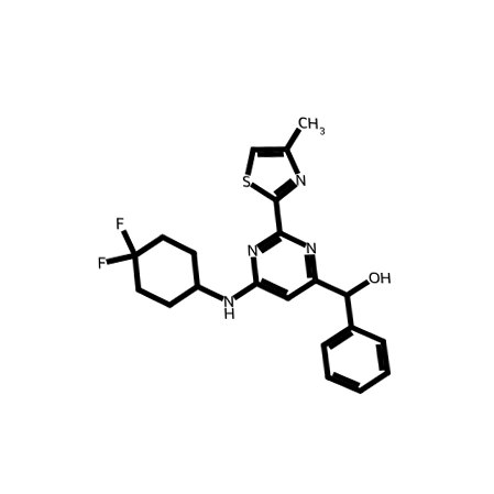 Cc1csc(-c2nc(NC3CCC(F)(F)CC3)cc(C(O)c3ccccc3)n2)n1